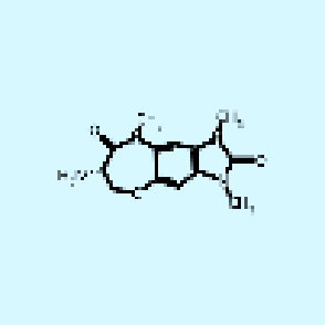 CN1C(=O)[C@@H](N)COc2cc3c(cc21)n(C)c(=O)n3C